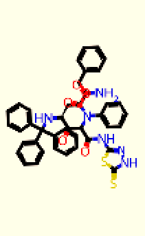 NC(=O)CC[C@H](NC(c1ccccc1)(c1ccccc1)c1ccccc1)C(=O)C(C(=O)Nc1n[nH]c(=S)s1)N(C(=O)OCc1ccccc1)c1ccccc1